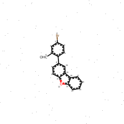 O=Cc1cc(Br)ccc1-c1ccc2oc3ccccc3c2c1